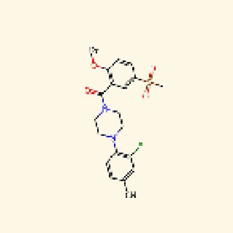 CC(C)Oc1ccc(S(C)(=O)=O)cc1C(=O)N1CCN(c2ccc(C#N)cc2F)CC1